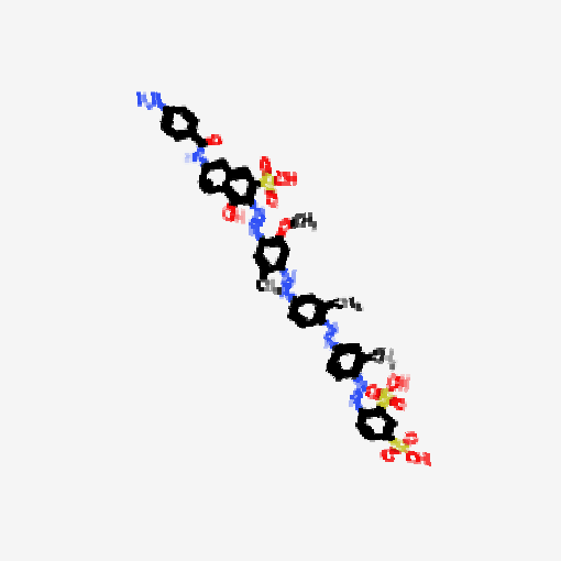 COc1cc(N=Nc2ccc(N=Nc3ccc(N=Nc4ccc(S(=O)(=O)O)cc4S(=O)(=O)O)c(C)c3)c(C)c2)c(C)cc1N=Nc1c(S(=O)(=O)O)cc2cc(NC(=O)c3ccc(N)cc3)ccc2c1O